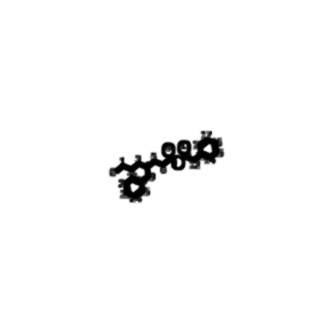 CCCCC(CCC(=O)OC(=O)Cc1ccccc1)Cc1ccccc1